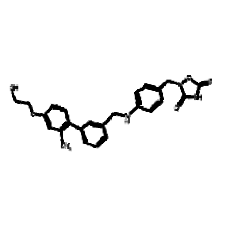 Cc1cc(OCCO)ccc1-c1cccc(CNc2ccc(Cn3oc(=O)[nH]c3=O)cc2)c1